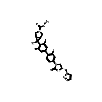 CC(C)(C)OC(=O)N1CC2C(C1)C2(C#N)c1c(F)cc(-c2ccc(N3C[C@H](Cn4ccnn4)OC3=O)cc2F)cc1F